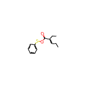 CCC=C(CC)C(=O)OSc1ccccc1